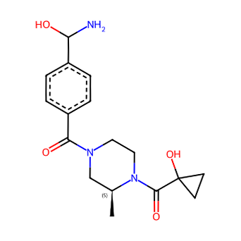 C[C@H]1CN(C(=O)c2ccc(C(N)O)cc2)CCN1C(=O)C1(O)CC1